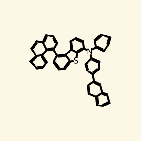 c1ccc(N(c2ccc(-c3ccc4ccccc4c3)cc2)c2cccc3c2sc2cccc(-c4cccc5ccc6ccccc6c45)c23)cc1